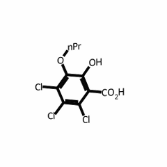 CCCOc1c(O)c(C(=O)O)c(Cl)c(Cl)c1Cl